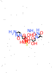 Cc1cn([C@H]2C[C@H](O)[C@@H](C(O)OP(O)(=S)O[C@@]3(O)C[C@H](n4ccc(N)nc4=O)O[C@@H]3CO)O2)c(=O)[nH]c1=O.N